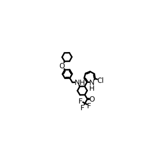 O=C(C1CCC(NCc2ccc(OC3CCCCC3)cc2)C(C2=CC=CC=C(Cl)N2)C1)C(F)(F)F